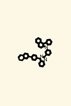 C1=Cc2ccc(-c3ccc(-c4nc(-c5cccc(-n6c7ccccc7c7c8ccccc8ccc76)c5)nc5ccccc45)cc3)cc2CC1